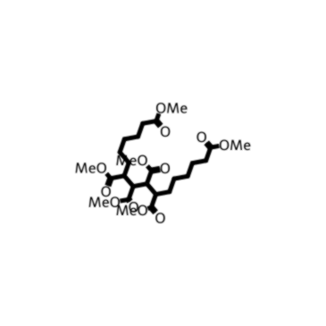 COC(=O)CCCCCC(C(=O)OC)C(C(=O)OC)C(C(=O)OC)C(CCCCCC(=O)OC)C(=O)OC